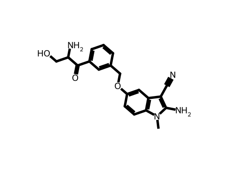 Cn1c(N)c(C#N)c2cc(OCc3cccc(C(=O)C(N)CO)c3)ccc21